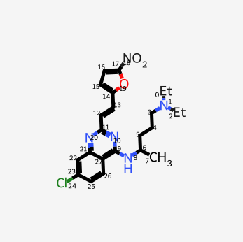 CCN(CC)CCCC(C)Nc1nc(C=Cc2ccc([N+](=O)[O-])o2)nc2cc(Cl)ccc12